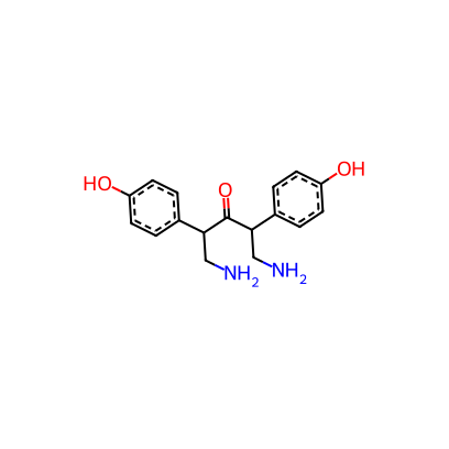 NCC(C(=O)C(CN)c1ccc(O)cc1)c1ccc(O)cc1